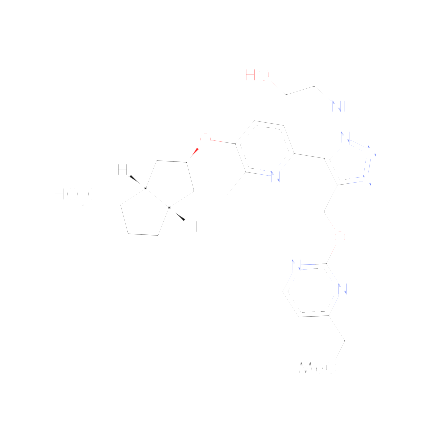 COCc1ccnc(OCc2c(-c3ccc(O[C@H]4C[C@@H]5CC[C@H](C(=O)O)[C@@H]5C4)c(C)n3)nnn2C)n1.NCCO